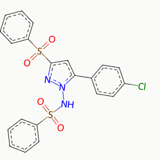 O=S(=O)(Nn1nc(S(=O)(=O)c2ccccc2)cc1-c1ccc(Cl)cc1)c1ccccc1